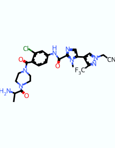 CC(N)C(=O)N1CCN(C(=O)c2ccc(NC(=O)c3ncc(-c4cn(CC#N)nc4C(F)(F)F)n3C)cc2Cl)CC1